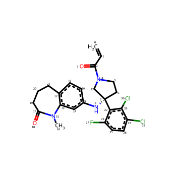 C=CC(=O)N1CC[C@@](Nc2ccc3c(c2)N(C)C(=O)CCC3)(c2c(F)ccc(Cl)c2Cl)C1